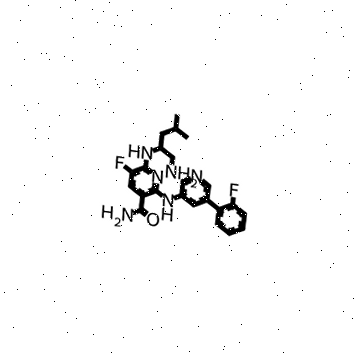 CC(C)CC(CN)Nc1nc(Nc2cncc(-c3ccccc3F)c2)c(C(N)=O)cc1F